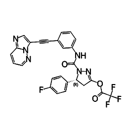 O=C(Nc1cccc(C#Cc2cnc3cccnn23)c1)N1N=C(OC(=O)C(F)(F)F)C[C@@H]1c1ccc(F)cc1